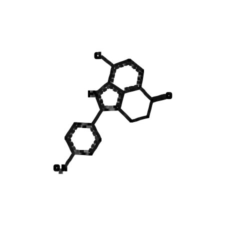 O=C1CCc2c(-c3ccc([N+](=O)[O-])cc3)[nH]c3c(Cl)ccc1c23